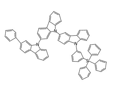 c1ccc(-c2ccc3c4ccccc4n(-c4ccc5c6ccccc6n(-c6ccc7c(c6)c6ccccc6n7-c6cccc([Si](c7ccccc7)(c7ccccc7)c7ccccc7)c6)c5c4)c3c2)cc1